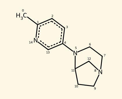 Cc1ccc(N2CCN3CCC2C3)cn1